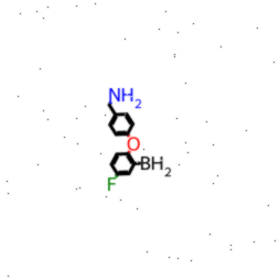 Bc1cc(F)ccc1Oc1ccc(CN)cc1